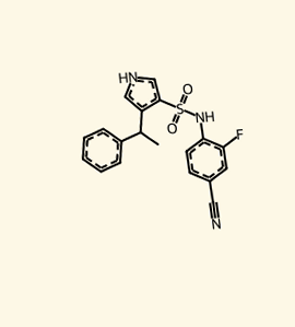 CC(c1ccccc1)c1c[nH]cc1S(=O)(=O)Nc1ccc(C#N)cc1F